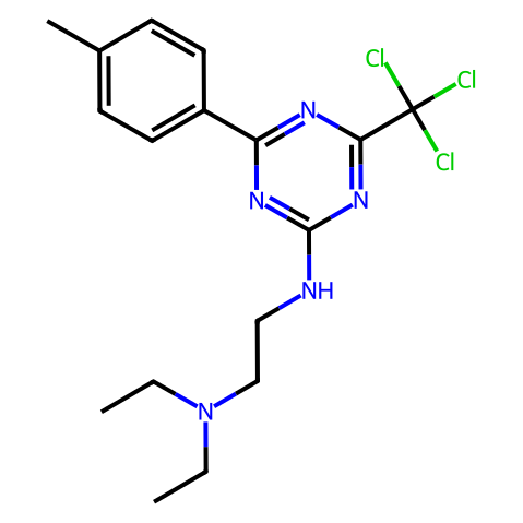 CCN(CC)CCNc1nc(-c2ccc(C)cc2)nc(C(Cl)(Cl)Cl)n1